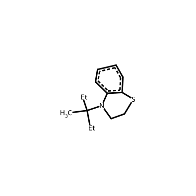 CCC(C)(CC)N1CCSc2ccccc21